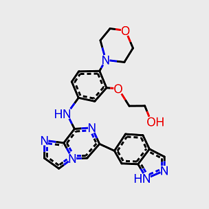 OCCOc1cc(Nc2nc(-c3ccc4cn[nH]c4c3)cn3ccnc23)ccc1N1CCOCC1